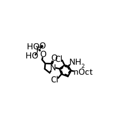 CCCCCCCCc1cc(Cl)c(N2CCC(COP(=O)(O)O)C2=O)c(Cl)c1N